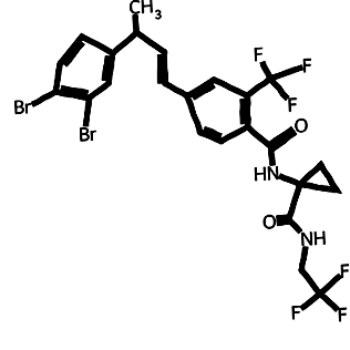 CC(/C=C/c1ccc(C(=O)NC2(C(=O)NCC(F)(F)F)CC2)c(C(F)(F)F)c1)c1ccc(Br)c(Br)c1